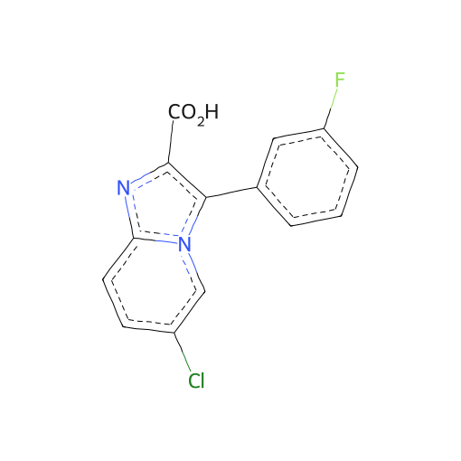 O=C(O)c1nc2ccc(Cl)cn2c1-c1cccc(F)c1